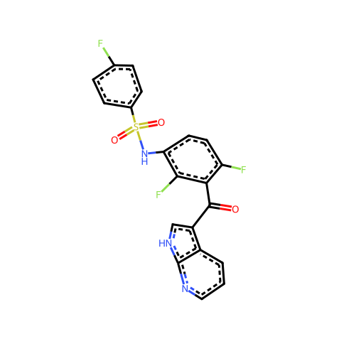 O=C(c1c(F)ccc(NS(=O)(=O)c2ccc(F)cc2)c1F)c1c[nH]c2ncccc12